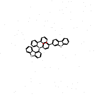 c1ccc(-c2ccccc2N(c2ccc(-c3ccc4c(c3)oc3ccccc34)cc2)c2cccc3oc4ccccc4c23)cc1